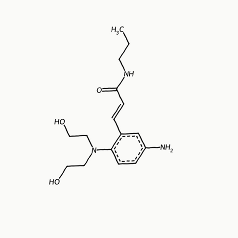 CCCNC(=O)C=Cc1cc(N)ccc1N(CCO)CCO